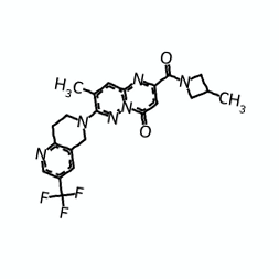 Cc1cc2nc(C(=O)N3CC(C)C3)cc(=O)n2nc1N1CCc2ncc(C(F)(F)F)cc2C1